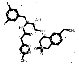 CCc1ccc2c(c1)[C@@H](NC[C@@H](O)[C@H](Cc1cc(F)cc(F)c1)NC(=O)Cc1cc(C)no1)CS(=O)(=O)C2